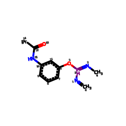 C=N/[PH](=N\C)Oc1cccc(NC(=O)C(C)C)c1